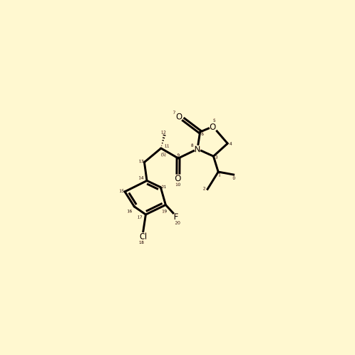 CC(C)C1COC(=O)N1C(=O)[C@@H](C)Cc1ccc(Cl)c(F)c1